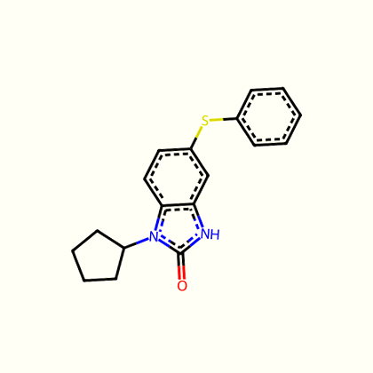 O=c1[nH]c2cc(Sc3ccccc3)ccc2n1C1CCCC1